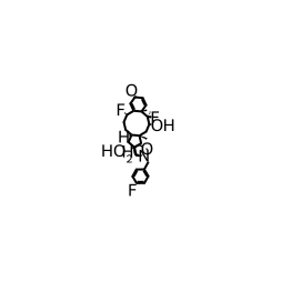 C[C@]12C=CC(=O)C=C1[C@@H](F)CC[C@@H]1C[C@H]3CN(Cc4ccc(F)cc4)O[C@@]3(C(=O)O)[C@@]1(C)C[C@H](O)[C@]2(C)F